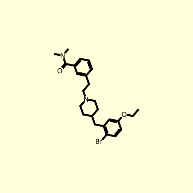 CCOc1ccc(Br)c(CC2CCN(CCc3cccc(C(=O)N(C)C)c3)CC2)c1